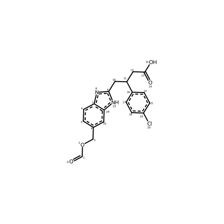 O=COCc1ccc2nc(CC(CC(=O)O)c3ccc(Cl)cc3)[nH]c2c1